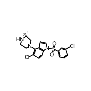 C[C@@H]1CN(c2c(Cl)ccc3c2ccn3S(=O)(=O)c2cccc(Cl)c2)CCN1